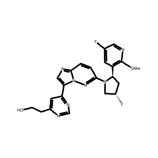 COc1ncc(F)cc1[C@H]1C[C@H](F)CN1c1ccc2ncc(-c3cc(CCO)ncn3)n2n1